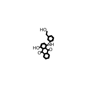 O=C1c2ccccc2C(=O)c2c(Nc3cccc(CCO)c3)ccc(O)c21